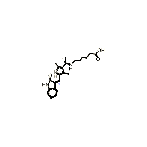 Cc1[nH]c(/C=C2\C(=O)Nc3ccccc32)c(C)c1C(=O)NCCCCCC(=O)O